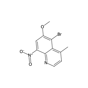 COc1cc([N+](=O)[O-])c2nccc(C)c2c1Br